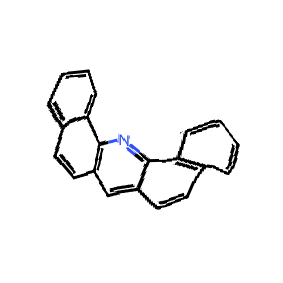 [c]1cccc2ccc3cc4ccc5ccccc5c4nc3c12